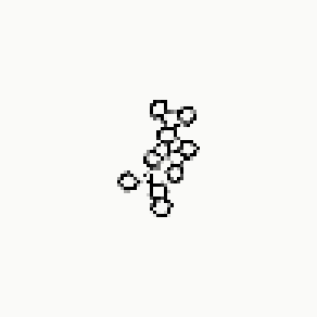 c1ccc(N(c2ccc3c(c2)C2(c4ccccc4-c4ccccc42)c2cc4c5ccccc5c5ccccc5c4cc2-3)c2ccc3ccccc3c2)cc1